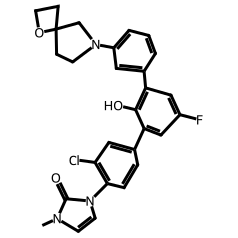 Cn1ccn(-c2ccc(-c3cc(F)cc(-c4cccc(N5CCC6(CCO6)C5)c4)c3O)cc2Cl)c1=O